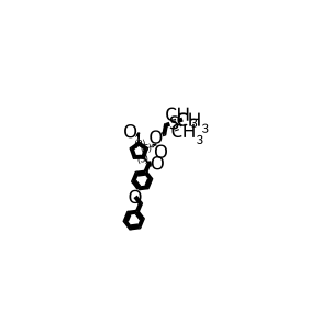 CS(C)(C)CCOC(=O)[C@H]1[C@H](C=O)CC[C@@H]1C(=O)c1ccc(OCc2ccccc2)cc1